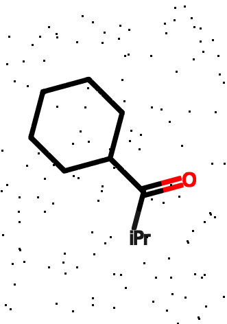 CC(C)C(=O)C1CCCCC1